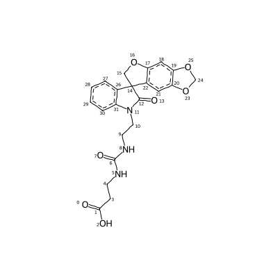 O=C(O)CCNC(=O)NCCN1C(=O)C2(COc3cc4c(cc32)OCO4)c2ccccc21